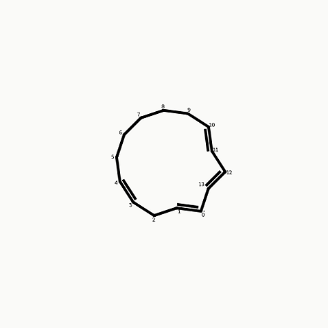 [C]1=C/C/C=C\CCCCC/C=C/C=C/1